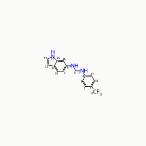 FC(F)(F)c1ccc(NCNc2ccc3cc[nH]c3c2)cc1